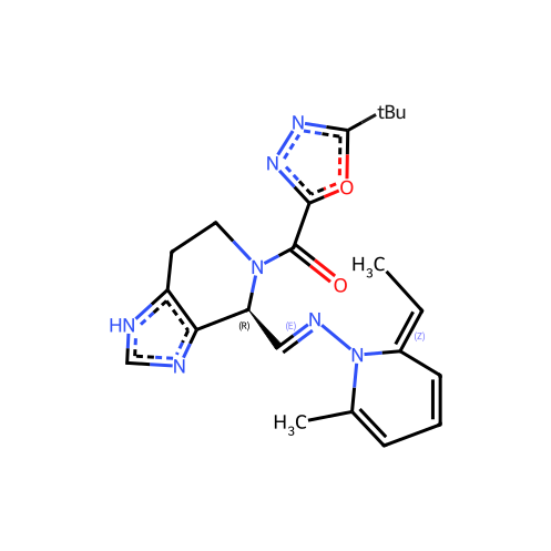 C/C=C1/C=CC=C(C)N1/N=C/[C@H]1c2nc[nH]c2CCN1C(=O)c1nnc(C(C)(C)C)o1